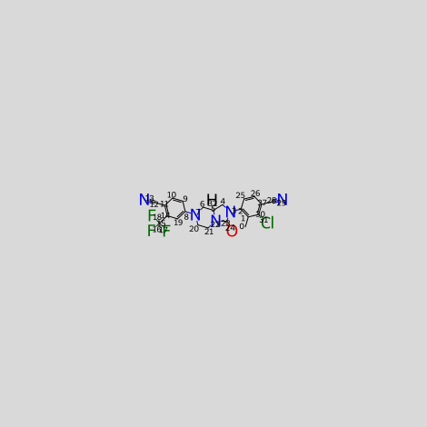 Cc1c(N2C[C@@H]3CN(c4ccc(C#N)c(C(F)(F)F)c4)CCN3C2=O)ccc(C#N)c1Cl